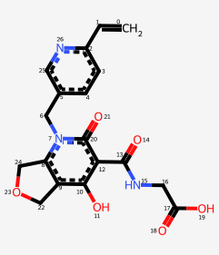 C=Cc1ccc(Cn2c3c(c(O)c(C(=O)NCC(=O)O)c2=O)COC3)cn1